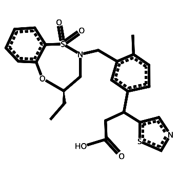 CC[C@@H]1CN(Cc2cc(C(CC(=O)O)c3cncs3)ccc2C)S(=O)(=O)c2ccccc2O1